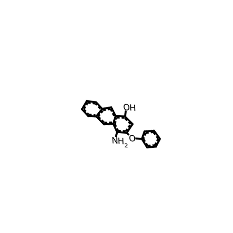 Nc1c(Oc2ccccc2)cc(O)c2cc3ccccc3cc12